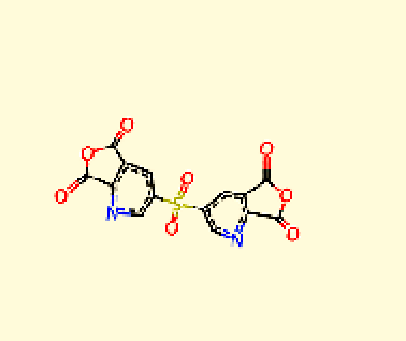 O=C1OC(=O)c2ncc(S(=O)(=O)c3cnc4c(c3)C(=O)OC4=O)cc21